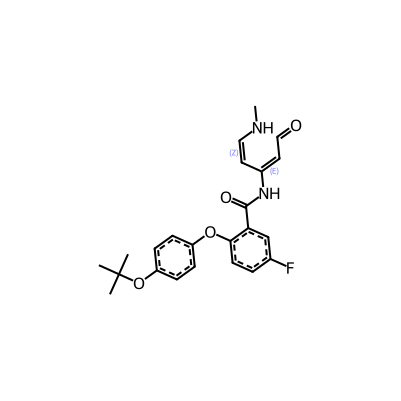 CN/C=C\C(=C/C=O)NC(=O)c1cc(F)ccc1Oc1ccc(OC(C)(C)C)cc1